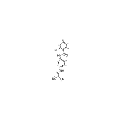 N#CC(C#N)=NNc1ccc(NC(=O)c2ccccc2F)nc1